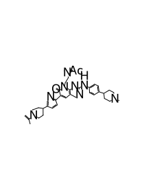 C=C(C)N1CCC(c2ccc(-c3cc4cnc(Nc5ccc(C6CCN(C)CC6)cc5)nc4n(CCN(C)C(C)=O)c3=O)nc2)CC1